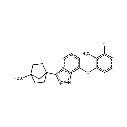 Cc1c(Cl)cccc1Oc1cccn2c(C34CCC(C(=O)O)(CC3)C4)nnc12